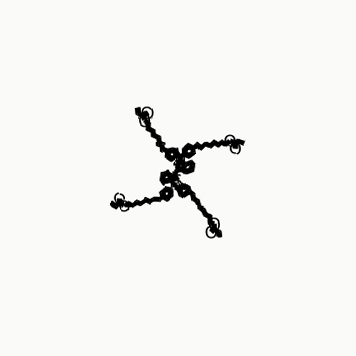 C=CC(=O)OCCCCCCCCc1ccc(N(c2ccc(CCCCCCCCOC(=O)C=C)cc2)c2sc(-c3sc(N(c4ccc(CCCCCCCCOC(=O)C=C)cc4)c4ccc(CCCCCCCCOC(=O)C=C)cc4)c4ccccc34)c3ccccc23)cc1